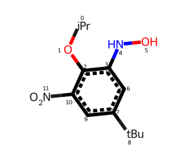 CC(C)Oc1c(NO)cc(C(C)(C)C)cc1[N+](=O)[O-]